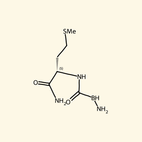 CSCC[C@H](NC(=O)BN)C(N)=O